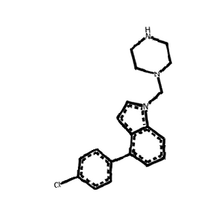 Clc1ccc(-c2cccc3c2ccn3CN2CCNCC2)cc1